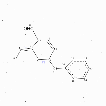 C=C/C(=C\C(=C/C)CC=O)Oc1ccccc1